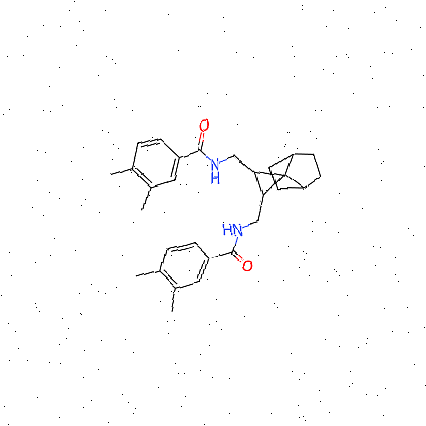 Cc1ccc(C(=O)NCC2C(CNC(=O)c3ccc(C)c(C)c3)C23C2CCC3CC2)cc1C